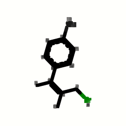 CC(CBr)=C(C)c1ccc(C(C)(C)C)cc1